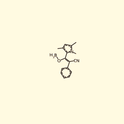 BOC(=C(C#N)c1ccccc1)c1c(C)cc(C)n1C